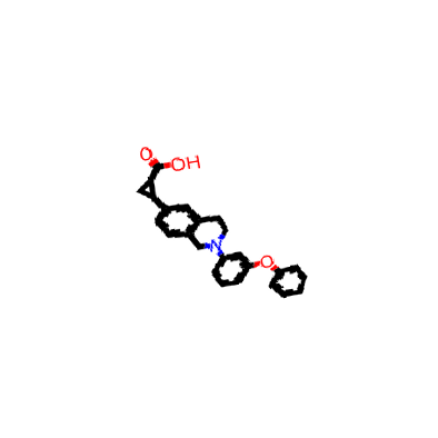 O=C(O)C1CC1c1ccc2c(c1)CCN(c1cccc(Oc3ccccc3)c1)C2